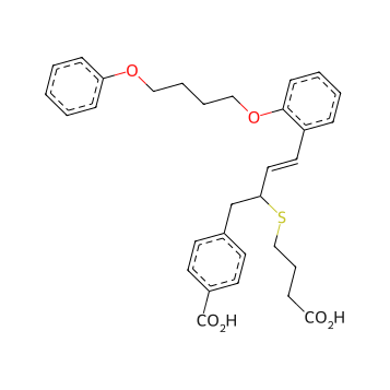 O=C(O)CCCSC(C=Cc1ccccc1OCCCCOc1ccccc1)Cc1ccc(C(=O)O)cc1